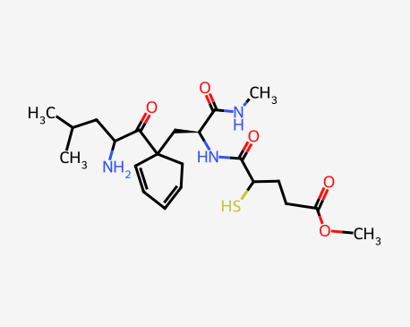 CNC(=O)[C@H](CC1(C(=O)C(N)CC(C)C)C=CC=CC1)NC(=O)C(S)CCC(=O)OC